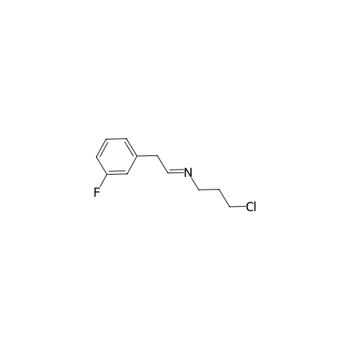 Fc1cccc(CC=NCCCCl)c1